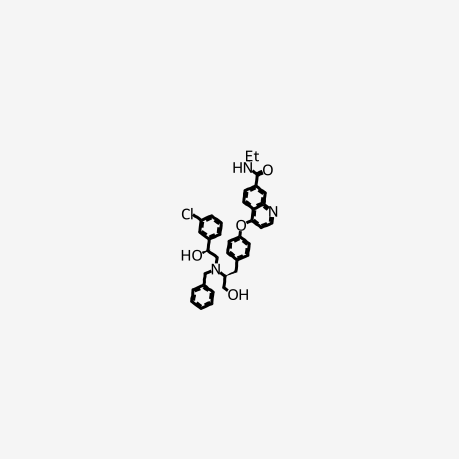 CCNC(=O)c1ccc2c(Oc3ccc(C[C@@H](CO)N(Cc4ccccc4)C[C@@H](O)c4cccc(Cl)c4)cc3)ccnc2c1